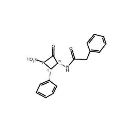 O=C(Cc1ccccc1)N[C@H]1C(=O)N(S(=O)(=O)O)[C@H]1c1ccccc1